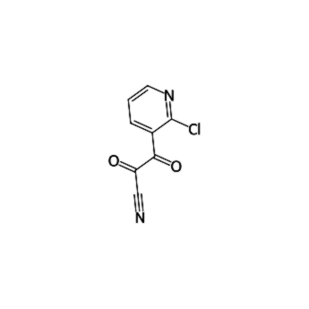 N#CC(=O)C(=O)c1cccnc1Cl